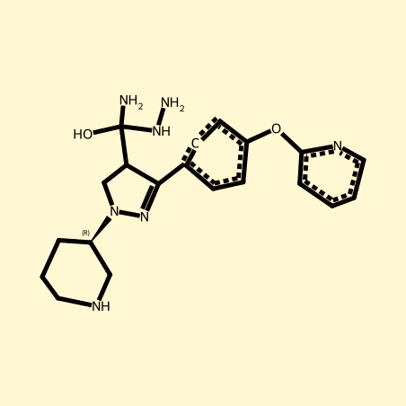 NNC(N)(O)C1CN([C@@H]2CCCNC2)N=C1c1ccc(Oc2ccccn2)cc1